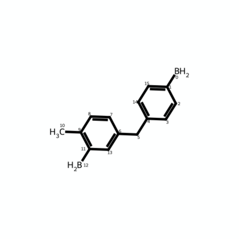 Bc1ccc(Cc2ccc(C)c(B)c2)cc1